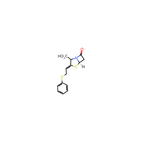 O=C(O)C1/C(=C/CSc2ccccc2)S[C@@H]2CC(=O)N12